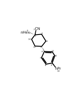 CCCCCC[C@]1(C#N)CC[C@H](c2ccc(CCC)cc2)CC1